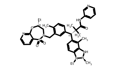 CC[C@@H]1CN(Cc2cc([C@@H](c3ccc4c(c3C)NN(C)N4CC)C(C)(C)C(=O)Nc3cccnc3)ccc2C)S(=O)(=O)c2cccnc2O1